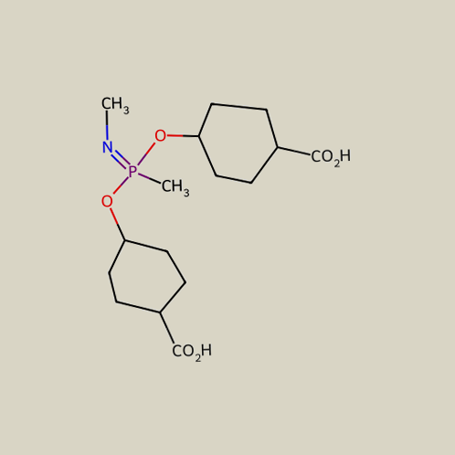 CN=P(C)(OC1CCC(C(=O)O)CC1)OC1CCC(C(=O)O)CC1